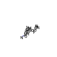 CN(C)C/C=C/C(=O)N1CCN2c3ccc4ncnc(Nc5cc(F)c(Oc6ccn7ncnc7c6)cc5F)c4c3OC[C@H]2C1